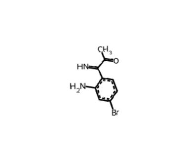 CC(=O)C(=N)c1ccc(Br)cc1N